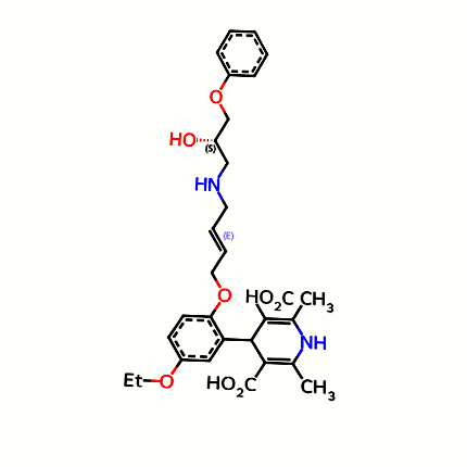 CCOc1ccc(OC/C=C/CNC[C@H](O)COc2ccccc2)c(C2C(C(=O)O)=C(C)NC(C)=C2C(=O)O)c1